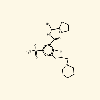 CCC(NC(=O)c1cc(S(N)(=O)=O)cc2c1OC(CN1CCCCC1)C2)C1CCCN1